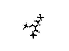 CC(C)(C)OC(=O)NC(CSC(F)(F)F)C(=O)OC(C)(C)C